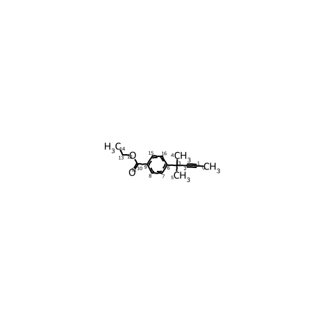 CC#CC(C)(C)c1ccc(C(=O)OCC)cc1